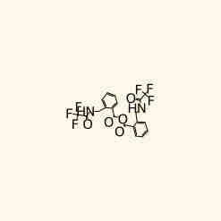 O=C(OC(=O)c1ccccc1CNC(=O)C(F)(F)F)c1ccccc1CNC(=O)C(F)(F)F